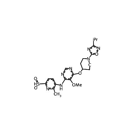 COc1c(Nc2ccc([SH](=O)=O)nc2C)ncnc1OC1CCN(c2nc(C(C)C)no2)CC1